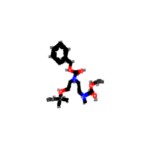 CN(CCN(CCO[Si](C)(C)C(C)(C)C)C(=O)OCc1ccccc1)C(=O)OC(C)(C)C